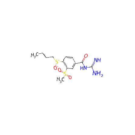 CCCC[S+]([O-])c1ccc(C(=O)NC(=N)N)cc1S(C)(=O)=O